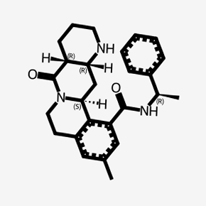 Cc1cc2c(c(C(=O)N[C@H](C)c3ccccc3)c1)[C@@H]1C[C@H]3NCCC[C@H]3C(=O)N1CC2